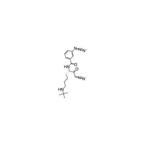 CC(C)(C)NCCCC[C@H](NC(=O)c1cccc(N=[N+]=[N-])c1)C(=O)C=[N+]=[N-]